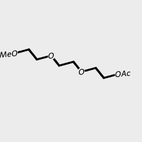 COCCOCCOCCOC(C)=O